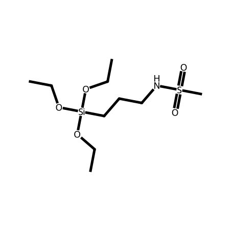 CCO[Si](CCCNS(C)(=O)=O)(OCC)OCC